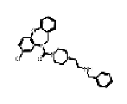 O=C(N1CCN(CCNCc2ccccc2)CC1)N1Cc2ccccc2Oc2ccc(Cl)cc21